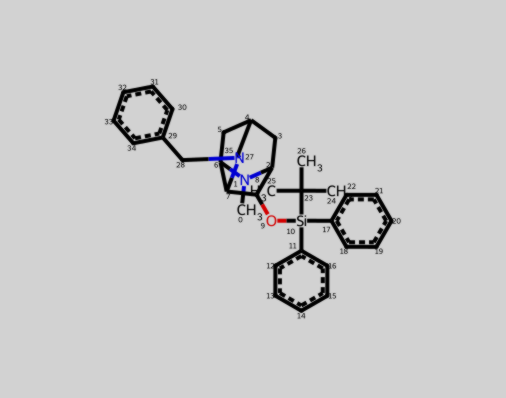 CN1C2CC3CC1C(C2O[Si](c1ccccc1)(c1ccccc1)C(C)(C)C)N(Cc1ccccc1)C3